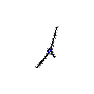 CCCCCCCCCCCCCCCCCN1C=CN(CCCCCCCCCCCCCC)C1CCCCC